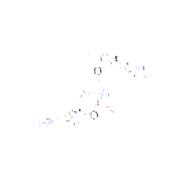 CC[C@H](C)[C@H](NC(=O)[C@H]1CCCCN1C)C(=O)N(C)[C@H](C[C@@H](OC(C)=O)c1nc(C(=O)N[C@@H](Cc2ccc(O)c(NC(=O)CCN(C(=O)CCN3C(=O)C=CC3=O)N(CCC(=O)Nc3cc(C[C@@H](CC(C)C(=O)O)NC(=O)c4csc([C@@H](C[C@H](C(C)C)N(C)C(=O)[C@@H](NC(=O)[C@H]5CCCCN5C)[C@@H](C)CC)OC(C)=O)n4)ccc3O)C(=O)CCN3C(=O)C=CC3=O)c2)CC(C)C(=O)O)cs1)C(C)C